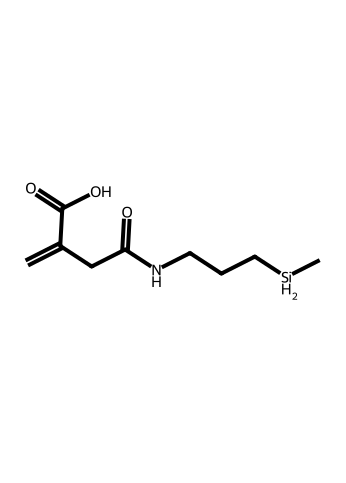 C=C(CC(=O)NCCC[SiH2]C)C(=O)O